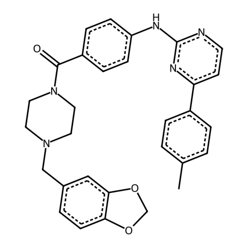 Cc1ccc(-c2ccnc(Nc3ccc(C(=O)N4CCN(Cc5ccc6c(c5)OCO6)CC4)cc3)n2)cc1